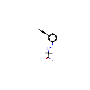 CCCCC#Cc1cccc(NNC(C)(C(N)=O)C(=O)O)c1